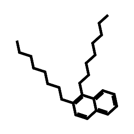 CCCCCCCCc1ccc2ccccc2c1CCCCCCCC